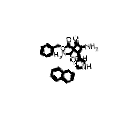 NC1C(=O)C(C(=O)OCc2ccccc2)([C@@H](N)C(=O)O)C1c1c[nH]cn1.c1ccc2ccccc2c1